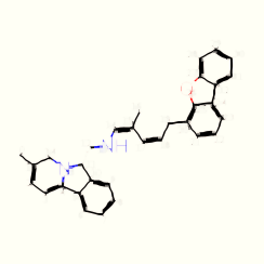 CC1=CC=C2c3ccccc3[C@@H](CN/C=C(C)\C=C/Cc3cccc4c3oc3ccccc34)N2C1